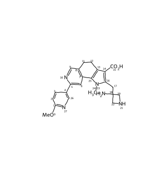 COc1ccc(-c2cc3c(cn2)CCc2c(C(=O)O)c(CC4(N)CNC4)n(C)c2-3)cn1